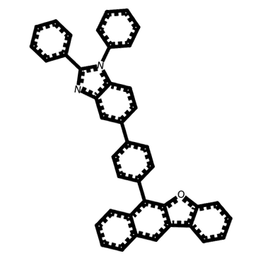 c1ccc(-c2nc3cc(-c4ccc(-c5c6ccccc6cc6c5oc5ccccc56)cc4)ccc3n2-c2ccccc2)cc1